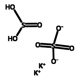 O=S(=O)([O-])[O-].O=S(O)O.[K+].[K+]